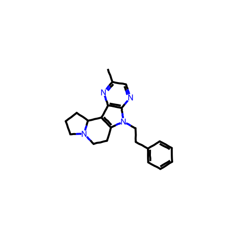 Cc1cnc2c(n1)c1c(n2CCc2ccccc2)CCN2CCCC12